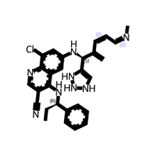 C=C(/C=C\C=N/C)[C@H](Nc1cc(Cl)c2ncc(C#N)c(N[C@H](CC)c3ccccc3)c2c1)C1=CNNN1